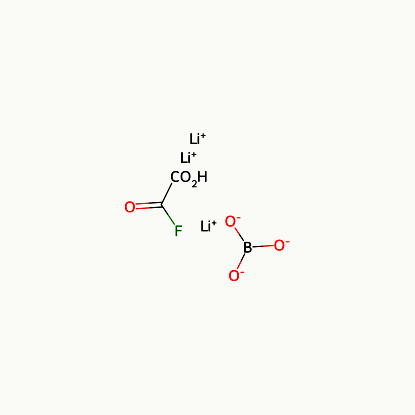 O=C(O)C(=O)F.[Li+].[Li+].[Li+].[O-]B([O-])[O-]